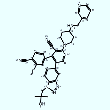 CC(C)(O)Cn1nnc2cc(-c3cnc(N4CCC(NCc5cccnc5)CC4)c(C#N)c3-c3ccc(C#N)c(F)c3)ccc21